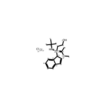 CO[C](C)=[Zr+2]([CH2]CO)([NH]C(C)(C)C)[CH]1C=Cc2ccccc21.[Cl-].[Cl-]